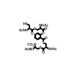 CC(=O)NC(CSC(=O)C(CSC(=O)c1ccccc1OC(=O)C(CSC(=O)C(CS)NC(C)=O)NC(C)=O)NC(C)=O)C(=O)O